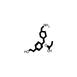 CCC(=O)O.NCC1CCC(Cc2ccc(CCO)cc2)CC1